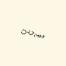 O=C(O)NCc1ccc(-c2ccccc2)c(F)c1